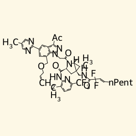 C=CCOCc1cc(-c2ncc(C)cn2)cc2c(C(C)=O)nn(CC(=O)N3[C@H](C(=O)Nc4nc(C(F)(F)F)ccc4C)C[C@@]4(CNC(=O)C(F)(F)/C=C/CCCCC)[C@@H](C)[C@@H]34)c12